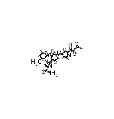 Cc1cccc(C)c1-n1cc(C(N)=O)nc1-c1ccc(Oc2ccnc(NC(=O)C3CC3)c2)c(F)c1